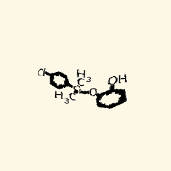 C[Si](C)(COc1ccccc1O)c1ccc(Cl)cc1